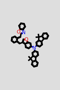 CC1(C)c2ccccc2-c2ccc(N(c3ccc4c(c3)C(C)(C)c3ccccc3-4)c3ccc4c(/C=c5/cccc/c5=C\c5nc6ccccc6o5)coc4c3)cc21